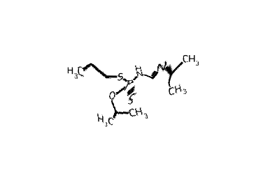 CCCSP(=S)(NC=NC(C)C)OC(C)C